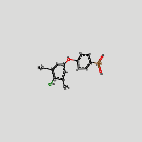 Cc1cc(Oc2ccc([SH](=O)=O)cc2)cc(C)c1Cl